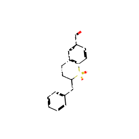 O=Cc1ccc2c(c1)CCC(Cc1ccccc1)S2(=O)=O